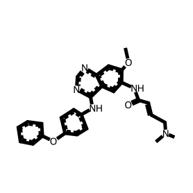 COc1cc2ncnc(Nc3ccc(Oc4ccccc4)cc3)c2cc1NC(=O)/C=C/CN(C)C